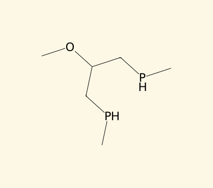 COC(CPC)CPC